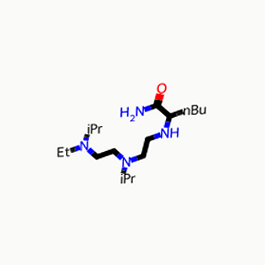 CCCCC(NCCN(CCN(CC)C(C)C)C(C)C)C(N)=O